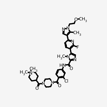 COCCn1ncc(-c2ccc(-c3cnc(C(=O)Nc4ccc(C(=O)N5CCN(C(=O)C6CC[N+](C)(C)CC6)CC5)c(Cl)c4)n3C)c(F)n2)c1C